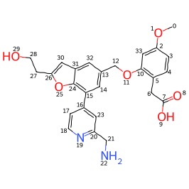 COc1ccc(CC(=O)O)c(OCc2cc(-c3ccnc(CN)c3)c3oc(CCO)cc3c2)c1